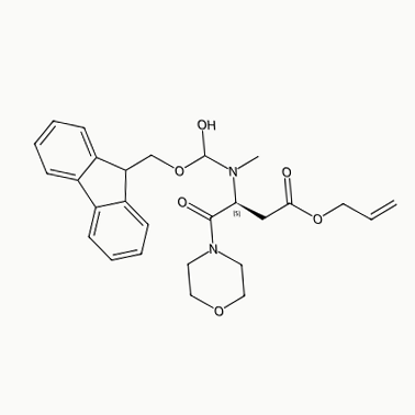 C=CCOC(=O)C[C@@H](C(=O)N1CCOCC1)N(C)C(O)OCC1c2ccccc2-c2ccccc21